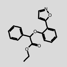 CCOC(=O)C(Oc1ccccc1-c1ccno1)c1ccccc1